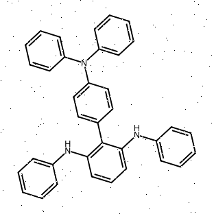 c1ccc(Nc2cccc(Nc3ccccc3)c2-c2ccc(N(c3ccccc3)c3ccccc3)cc2)cc1